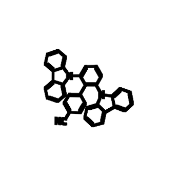 N#Cc1ccc(-c2c(-n3c4ccccc4c4ccccc43)cccc2-n2c3ccccc3c3ccccc32)cc1